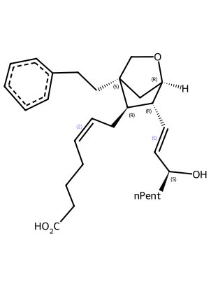 CCCCC[C@H](O)/C=C/[C@@H]1[C@@H](C/C=C\CCCC(=O)O)[C@@]2(CCc3ccccc3)CO[C@@H]1C2